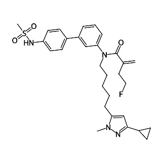 C=C(CCF)C(=O)N(CCCCCc1cc(C2CC2)nn1C)c1cccc(-c2ccc(NS(C)(=O)=O)cc2)c1